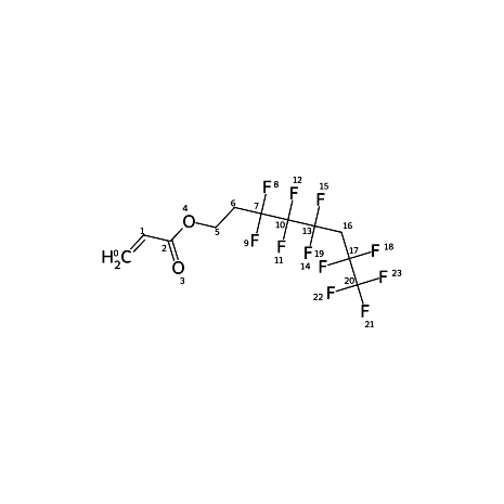 C=CC(=O)OCCC(F)(F)C(F)(F)C(F)(F)CC(F)(F)C(F)(F)F